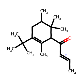 C/C=C/C(=O)C1C(C)=C(C(C)(C)C)CC(C)C1(C)C